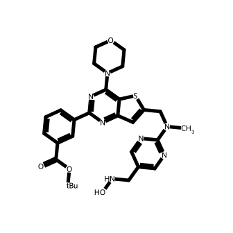 CN(Cc1cc2nc(-c3cccc(C(=O)OC(C)(C)C)c3)nc(N3CCOCC3)c2s1)c1ncc(CNO)cn1